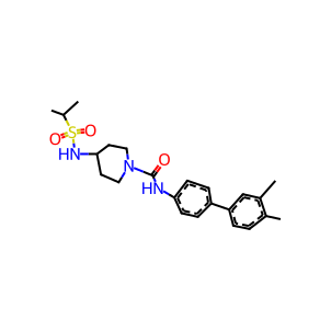 Cc1ccc(-c2ccc(NC(=O)N3CCC(NS(=O)(=O)C(C)C)CC3)cc2)cc1C